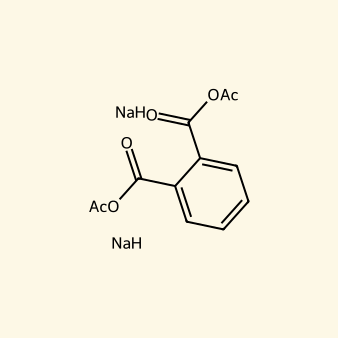 CC(=O)OC(=O)c1ccccc1C(=O)OC(C)=O.[NaH].[NaH]